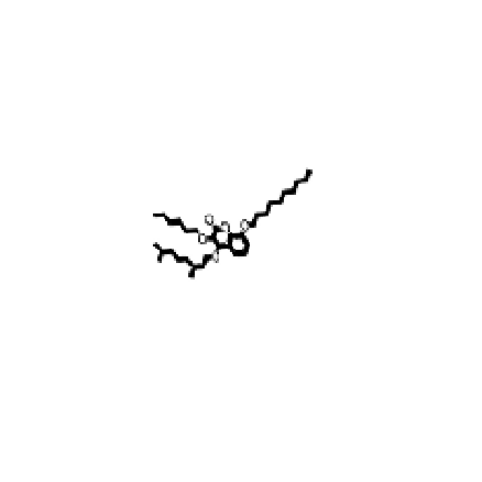 CCC=CCCOc1c(OCC=C(C)CCC=C(C)C)c2cccc(OCCCCCCCCCC)c2oc1=O